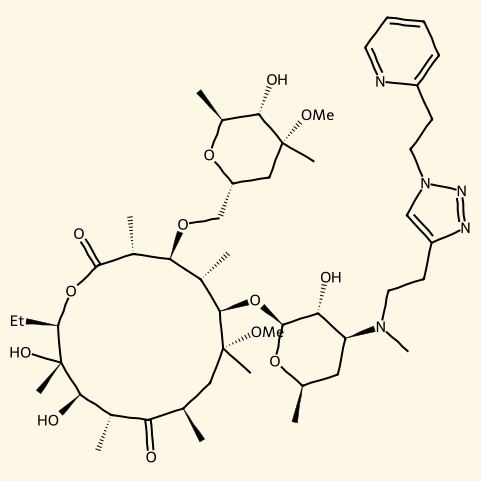 CC[C@H]1OC(=O)[C@H](C)[C@@H](OC[C@H]2C[C@@](C)(OC)[C@@H](O)[C@H](C)O2)[C@H](C)[C@@H](O[C@@H]2O[C@H](C)C[C@H](N(C)CCc3cn(CCc4ccccn4)nn3)[C@H]2O)[C@](C)(OC)C[C@@H](C)C(=O)[C@H](C)[C@@H](O)[C@]1(C)O